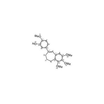 COc1ccc(C2=Cc3cc(OC)c(OC)c(OC)c3CCC2)cc1O